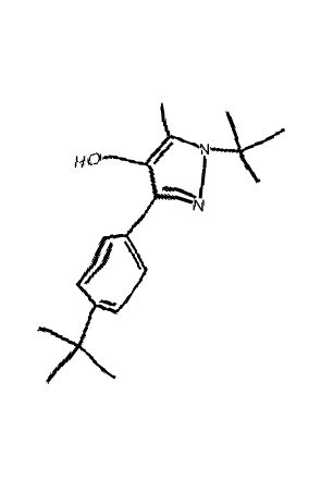 Cc1c(O)c(-c2ccc(C(C)(C)C)cc2)nn1C(C)(C)C